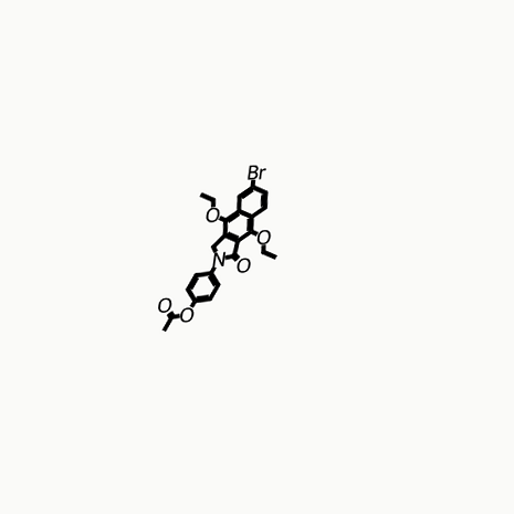 CCOc1c2c(c(OCC)c3ccc(Br)cc13)C(=O)N(c1ccc(OC(C)=O)cc1)C2